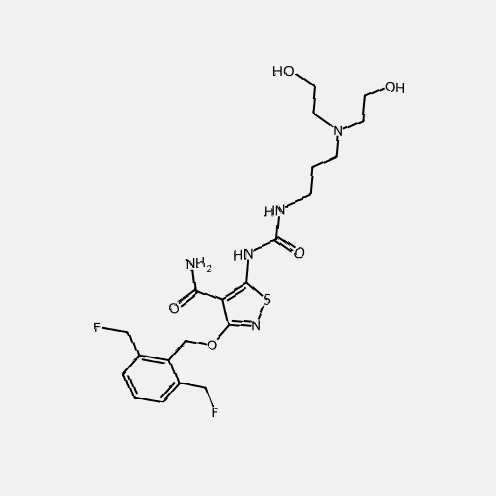 NC(=O)c1c(OCc2c(CF)cccc2CF)nsc1NC(=O)NCCCN(CCO)CCO